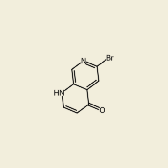 O=c1cc[nH]c2cnc(Br)cc12